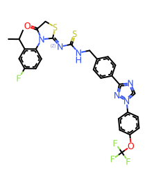 CC(C)c1cc(F)ccc1N1C(=O)CS/C1=N\C(=S)NCc1ccc(-c2ncn(-c3ccc(OC(F)(F)F)cc3)n2)cc1